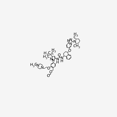 C[C@@H]1CCC[C@H](C)N1c1nnc2ccc(O[C@@H]3CC[C@H](NC(=O)Nc4cc(C(C)(C)C)nn4-c4ccc(COC=O)c(OCCN5CCN(C)CC5)c4)c4ccccc43)cn12